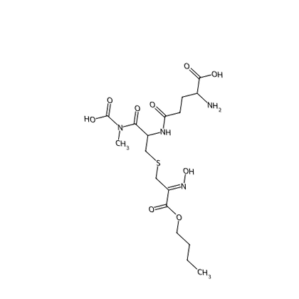 CCCCOC(=O)C(CSCC(NC(=O)CCC(N)C(=O)O)C(=O)N(C)C(=O)O)=NO